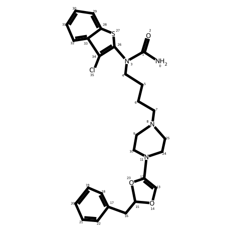 NC(=O)N(CCCCN1CCN(C2=COC(Cc3ccccc3)O2)CC1)c1sc2ccccc2c1Cl